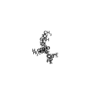 Cc1ccc(NC(=O)c2cccc(COC(=O)[C@H]3C[C@@H](c4ccc(OC(F)F)c(OCC5CC5)c4)CN3C(=O)OC(C)(C)C)n2)cc1